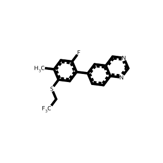 Cc1cc(F)c(-c2ccc3ncncc3c2)cc1SCC(F)(F)F